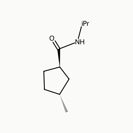 CC(C)NC(=O)[C@@H]1CC[C@@H](C)C1